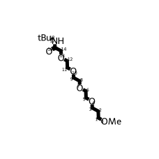 COCCCOCCOCCOCCOCC(=O)NC(C)(C)C